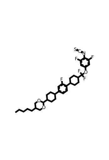 CCCCCC1COC(C2CCC(c3ccc(C4CCC(C(F)(F)Oc5cc(F)c(N=C=S)c(F)c5)CC4)c(F)c3)CC2)OC1